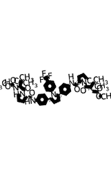 COC(=O)C[C@H](C(=O)N1CCC[C@H]1C(=O)Nc1ccc([C@@H]2CC[C@@H](c3ccc(NC(=O)[C@@H]4CCCN4C(=O)[C@@H](NC(=O)OC)C(C)(C)C)cc3)N2c2ccc(C(F)(F)F)cc2)cc1)C(C)(C)C